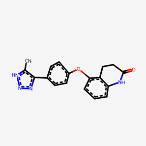 N#Cc1[nH]nnc1-c1ccc(Oc2cccc3c2CCC(=O)N3)cc1